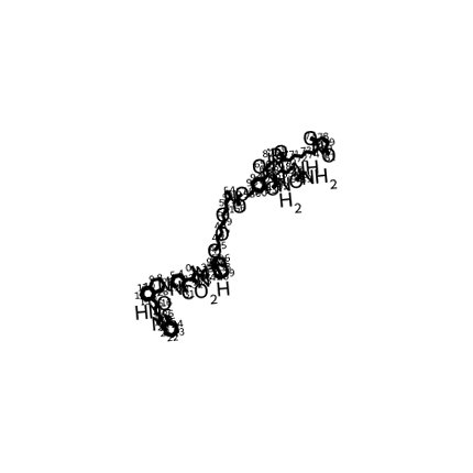 Cc1c(-c2ccc(N3CCc4cccc(C(=O)Nc5nc6ccccc6s5)c4C3)nc2C(=O)O)cnn1C[C@]12CC3CC(C1)C[C@](OCCOCCOCCN(C)C(=O)OCc1ccc(N(C(=O)[C@@H](NC(=O)CCCCCN4C(=O)C=CC4=O)C(C)C)[C@@H](CCCNC(N)=O)C(N)=O)cc1)(C3)C2